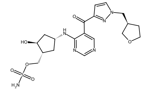 NS(=O)(=O)OC[C@H]1C[C@@H](Nc2ncncc2C(=O)c2ccn(C[C@H]3CCOC3)n2)C[C@@H]1O